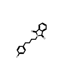 O=C1c2ccccc2C(=O)N1CCCCc1ccc(F)cc1